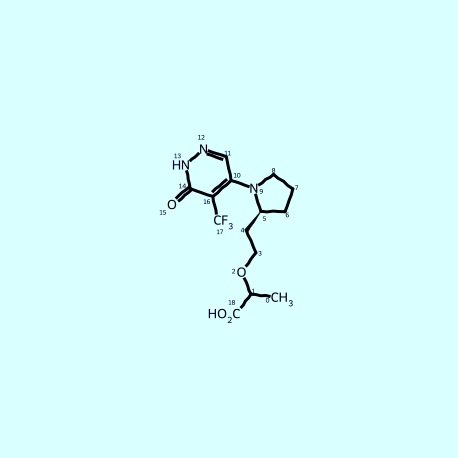 CC(OCC[C@@H]1CCCN1c1cn[nH]c(=O)c1C(F)(F)F)C(=O)O